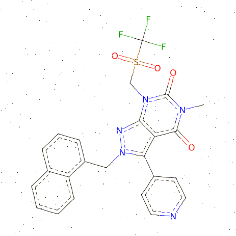 Cn1c(=O)c2c(-c3ccncc3)n(Cc3cccc4ccccc34)nc2n(CS(=O)(=O)C(F)(F)F)c1=O